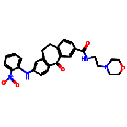 O=C(NCCN1CCOCC1)c1ccc2c(c1)C(=O)c1ccc(Nc3ccccc3[N+](=O)[O-])cc1CC2